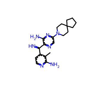 Cc1c(C(=N)c2ncc(N3CCC4(CCCC4)CC3)nc2N)ccnc1N